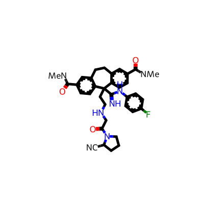 CNC(=O)c1ccc2c(c1)CCc1cc(C(=O)NC)ccc1C2(CCNCC(=O)N1CCCC1C#N)C(=N)Nc1ccc(F)cc1